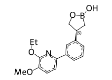 CCOc1nc(-c2cccc([C@H]3COB(O)C3)c2)ccc1OC